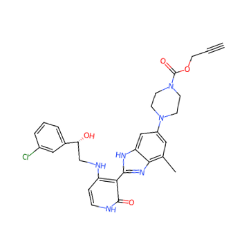 C#CCOC(=O)N1CCN(c2cc(C)c3nc(-c4c(NC[C@@H](O)c5cccc(Cl)c5)cc[nH]c4=O)[nH]c3c2)CC1